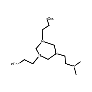 CCCCCCCCCCCCN1CN(CCCCCCCCCCCC)CN(CCN(C)C)C1